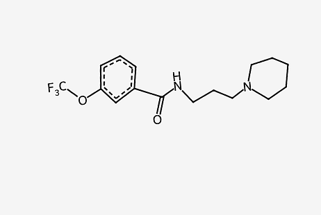 O=C(NCCCN1CCCCC1)c1cccc(OC(F)(F)F)c1